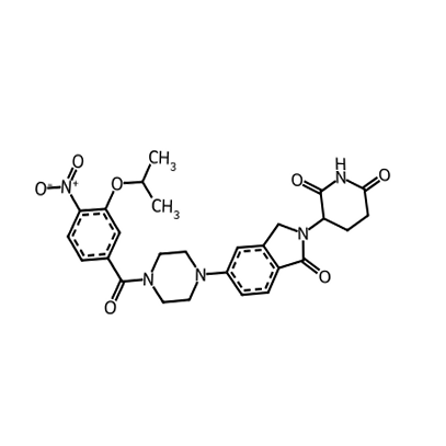 CC(C)Oc1cc(C(=O)N2CCN(c3ccc4c(c3)CN(C3CCC(=O)NC3=O)C4=O)CC2)ccc1[N+](=O)[O-]